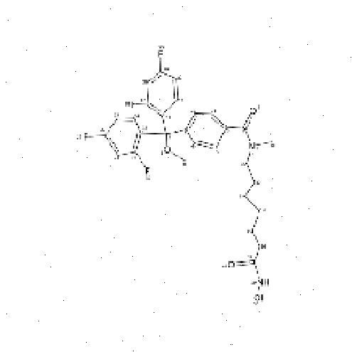 COC(c1ccc(C(=O)N(C)CCCCCCC(=O)NO)cc1)(c1ccc(F)cc1F)c1ccc(F)cc1F